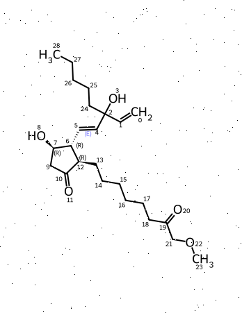 C=CC(O)(/C=C/[C@H]1[C@H](O)CC(=O)[C@@H]1CCCCCCC(=O)COC)CCCCC